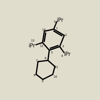 CC(C)c1cc(C(C)C)c(C2CCCCC2)c(C(C)C)c1